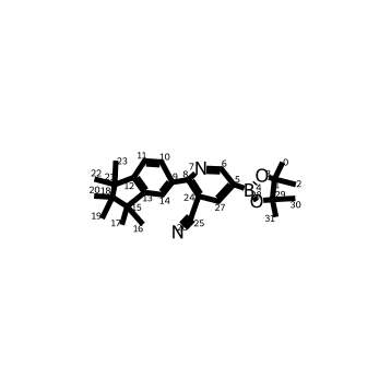 CC1(C)OB(c2cnc(-c3ccc4c(c3)C(C)(C)C(C)(C)C4(C)C)c(C#N)c2)OC1(C)C